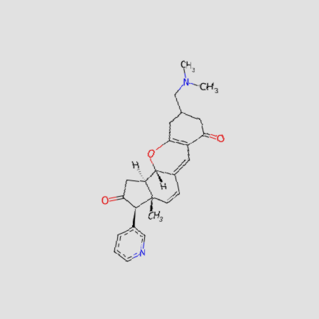 CN(C)CC1CC(=O)C2=C(C1)O[C@@H]1C(=C2)C=C[C@]2(C)[C@@H](c3cccnc3)C(=O)C[C@@H]12